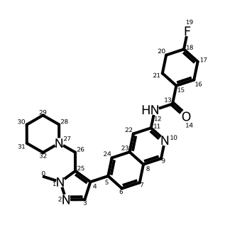 Cn1ncc(-c2ccc3cnc(NC(=O)C4=CC=C(F)CC4)cc3c2)c1CN1CCCCC1